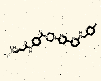 CN(C)C/C=C/C(=O)Nc1ccc(C(=O)N2CCN(c3ccc(-c4cccc(NCc5ccc(F)cc5)n4)cn3)CC2)cc1